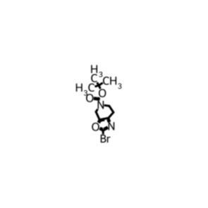 CC(C)(C)OC(=O)N1CCc2nc(Br)oc2C1